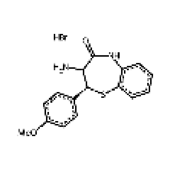 Br.COc1ccc([C@@H]2Sc3ccccc3NC(=O)C2N)cc1